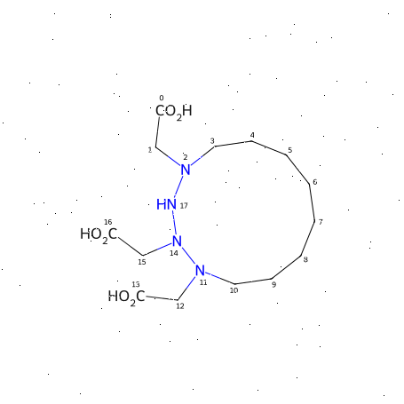 O=C(O)CN1CCCCCCCCN(CC(=O)O)N(CC(=O)O)N1